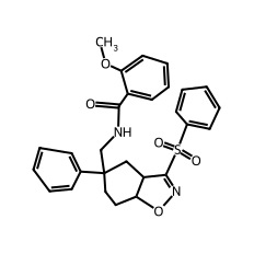 COc1ccccc1C(=O)NCC1(c2ccccc2)CCC2ON=C(S(=O)(=O)c3ccccc3)C2C1